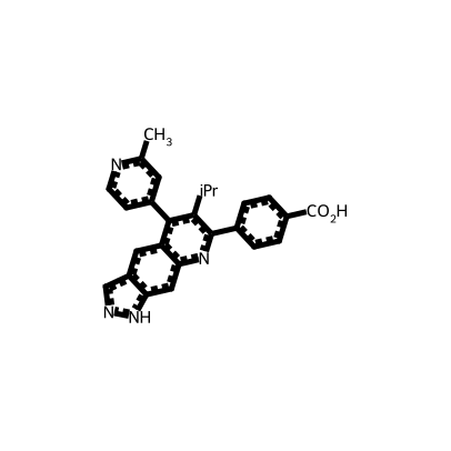 Cc1cc(-c2c(C(C)C)c(-c3ccc(C(=O)O)cc3)nc3cc4[nH]ncc4cc23)ccn1